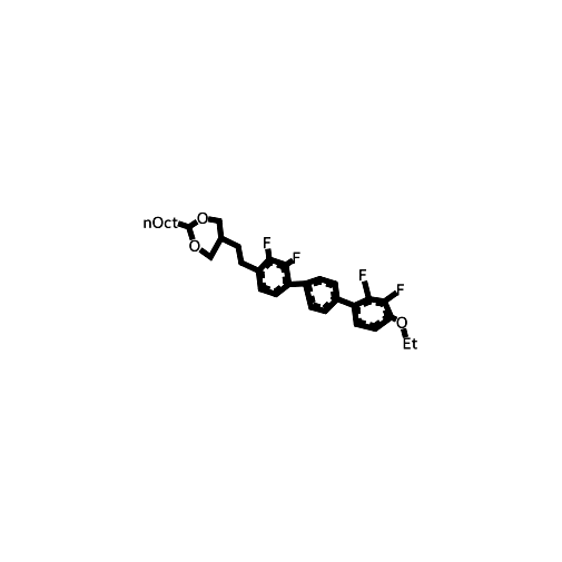 CCCCCCCCC1OCC(CCc2ccc(-c3ccc(-c4ccc(OCC)c(F)c4F)cc3)c(F)c2F)CO1